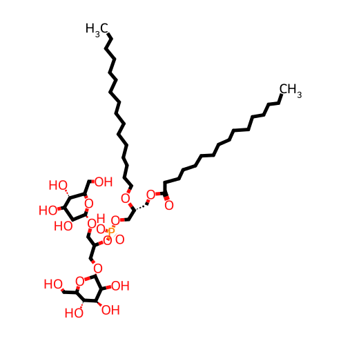 CCCCCCCCCCCCCCCCO[C@H](COC(=O)CCCCCCCCCCCCCCC)COP(=O)(O)OC(CO[C@H]1OC(CO)[C@@H](O)[C@H](O)C1O)CO[C@H]1OC(CO)[C@@H](O)C(O)[C@H]1O